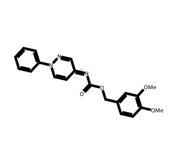 COc1ccc(COC(=O)/N=c2\ccn(-c3ccccc3)nc2)cc1OC